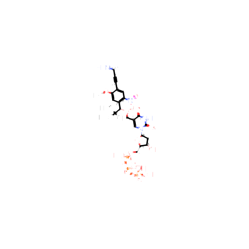 COc1cc([C@@H](OCc2cn([C@H]3C[C@H](O)[C@@H](COP(=O)(O)OP(=O)(O)OP(=O)(O)O)O3)c(=O)[nH]c2=O)C(C)(C)C)c([N+](=O)[O-])cc1C#CCN